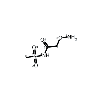 CS(=O)(=O)NC(=O)CON